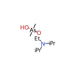 CCN(C(C)C)C(C)C.C[As](C)(=O)O